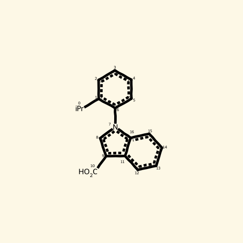 CC(C)c1ccccc1-n1cc(C(=O)O)c2ccccc21